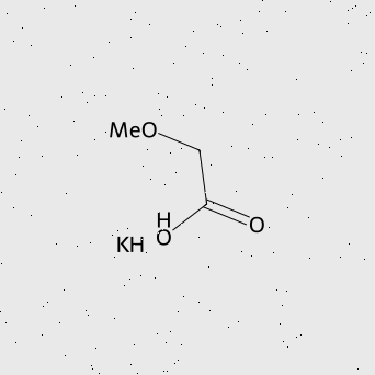 COCC(=O)O.[KH]